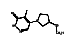 Cc1c(N2CCC(NC(=O)O)C2)cn[nH]c1=O